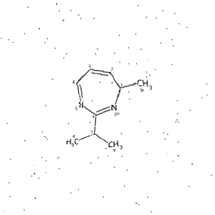 CC1C=CC=NC(C(C)C)=N1